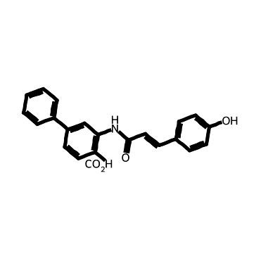 O=C(C=Cc1ccc(O)cc1)Nc1cc(-c2ccccc2)ccc1C(=O)O